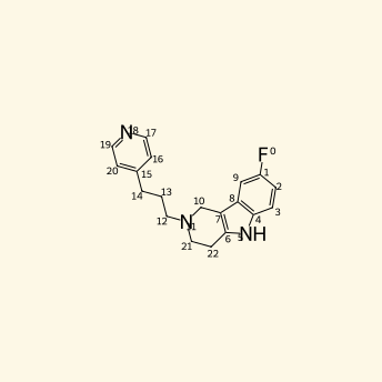 Fc1ccc2[nH]c3c(c2c1)CN(CCCc1ccncc1)CC3